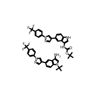 CC(C)(C)OC(=O)Nc1c[nH]c2ccc(-c3cnn(-c4ccc(C(F)(F)F)cc4)c3)cc12.CC(C)(C)n1cc(N)c2cc(-c3cnn(-c4ccc(C(F)(F)F)cc4)c3)ccc21